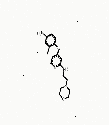 Nc1ccc(Oc2ccnc(NCCN3CCOCC3)c2)c(F)c1